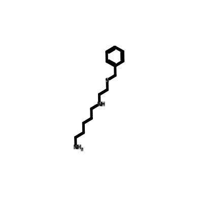 NCCCCCNCCSCc1ccccc1